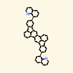 c1cnc2c(-c3ccc4c(c3)c3cc5c(cc6c7cc(-c8cccc9cccnc89)ccc7c7cccc5c76)c5cccc4c53)cccc2c1